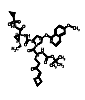 CC[C@@H]1C[C@]1(NC(=O)[C@@H]1C[C@@H](Oc2nccc3cc(OC)ccc23)CN1C(=O)[C@H](CCC(=O)C=C1CCC1)NC(=O)OC(C)(C)C)C(=O)NS(=O)(=O)C1CC1